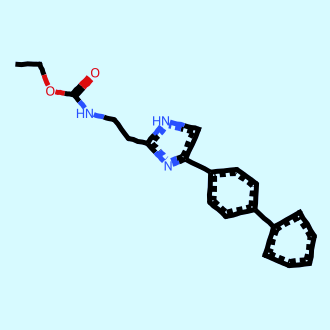 CCOC(=O)NCCc1nc(-c2ccc(-c3ccccc3)cc2)c[nH]1